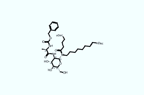 CCCCCCCCCCCCCCCCCCN(C(=O)CCCCCCCCCCCCC)[C@@H]1O[C@H](CO)[C@@H](O)[C@H](O)[C@H]1NC(=O)[C@@H](C)NC(=O)OCc1ccccc1